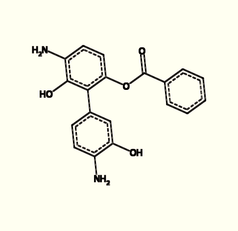 Nc1ccc(-c2c(OC(=O)c3ccccc3)ccc(N)c2O)cc1O